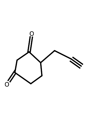 C#CCC1CCC(=O)CC1=O